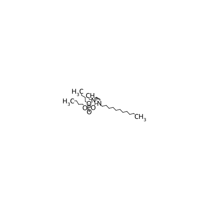 CCCCCCCCCCCN1C=CN(CC)C1OP(=O)(OCCCC)OCCCC